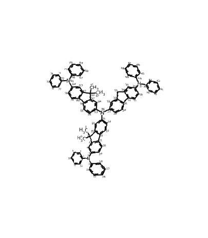 CC1(C)c2cc(N(c3ccccc3)c3ccccc3)ccc2-c2ccc(N(c3ccc4c(c3)Cc3cc(N(c5ccccc5)c5ccccc5)ccc3-4)c3ccc4c(c3)C(C)(C)c3cc(N(c5ccccc5)c5ccccc5)ccc3-4)cc21